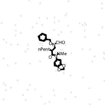 CCCCCC(CN(C=O)OCc1ccccc1)C(=O)N(NC)c1ccc2c(c1)OCO2